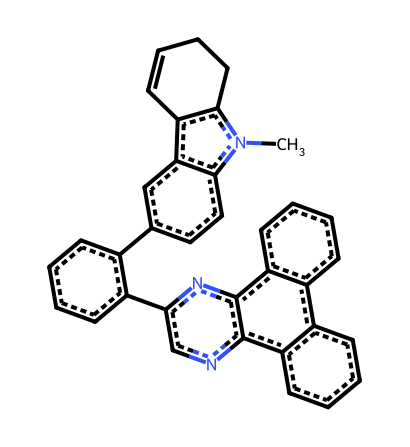 Cn1c2c(c3cc(-c4ccccc4-c4cnc5c6ccccc6c6ccccc6c5n4)ccc31)C=CCC2